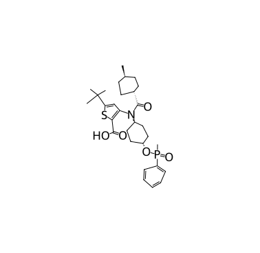 CC(C)(C)c1cc(N(C(=O)[C@H]2CC[C@H](C)CC2)[C@H]2CC[C@H](OP(C)(=O)c3ccccc3)CC2)c(C(=O)O)s1